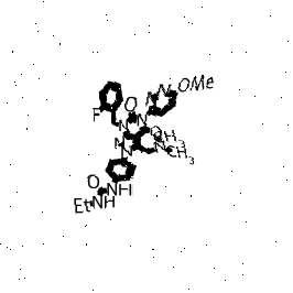 CCNC(=O)Nc1ccc(-n2nc3c(c2CN(C)C)c(=O)n(-c2ccc(OC)nn2)c(=O)n3Cc2ccccc2F)cc1